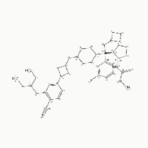 CCN(CC)Cc1cc(N2CC(CN3CCC(C(CN4CCC4)(c4cccc(F)c4)[C@H]4CCC[C@@H]4NC(=O)OC)CC3)C2)ccc1C#N